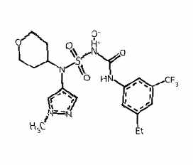 CCc1cc(NC(=O)[NH+]([O-])S(=O)(=O)N(c2cnn(C)c2)C2CCOCC2)cc(C(F)(F)F)c1